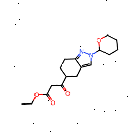 CCOC(=O)CC(=O)C1CCc2nn(C3CCCCO3)cc2C1